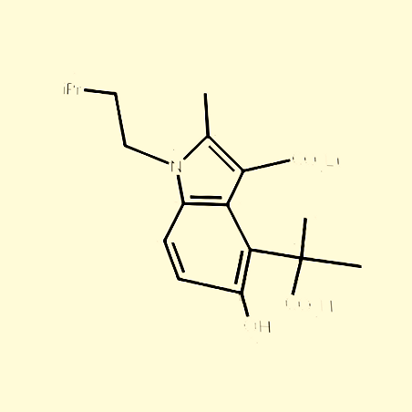 CCOC(=O)c1c(C)n(CCC(C)C)c2ccc(O)c(C(C)(C)C(=O)O)c12